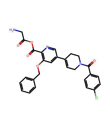 NCC(=O)OC(=O)c1ncc(C2=CCN(C(=O)c3ccc(Cl)cc3)CC2)cc1OCc1ccccc1